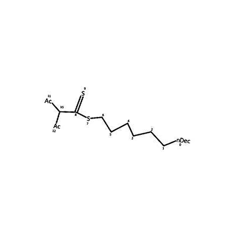 CCCCCCCCCCCCCCCCSC(=S)C(C(C)=O)C(C)=O